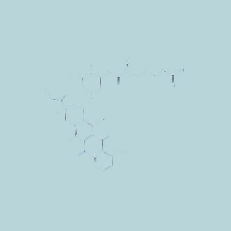 COc1cccc2c1C(=O)c1c(O)c3c(c(O)c1C2=O)C[C@@](O)(C(=O)CO)C[C@@H]3OC1CC(NC(=O)[C@@H](N)CCCNC(=N)N)C(O)C(C)O1